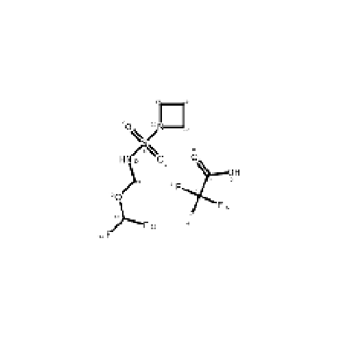 O=C(O)C(F)(F)F.O=S(=O)(NCOC(F)F)N1CCC1